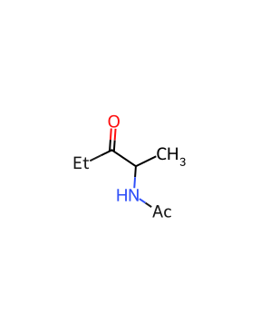 CCC(=O)C(C)NC(C)=O